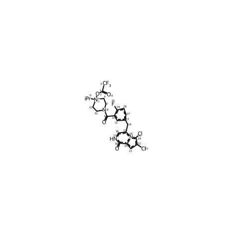 CC(C)[N+]1(OC(=O)C(F)(F)F)CCN(C(=O)c2cc(Cc3c[nH]c(=O)c4cc(Cl)c(Cl)n34)ccc2F)CC1